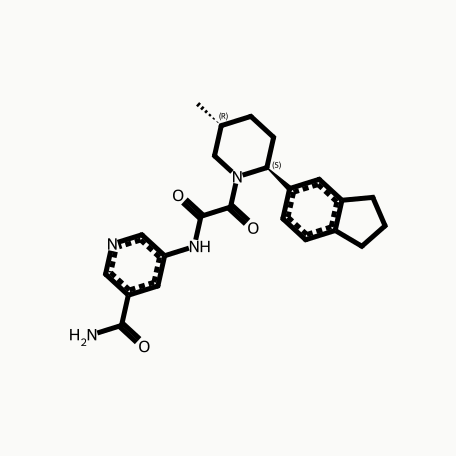 C[C@@H]1CC[C@@H](c2ccc3c(c2)CCC3)N(C(=O)C(=O)Nc2cncc(C(N)=O)c2)C1